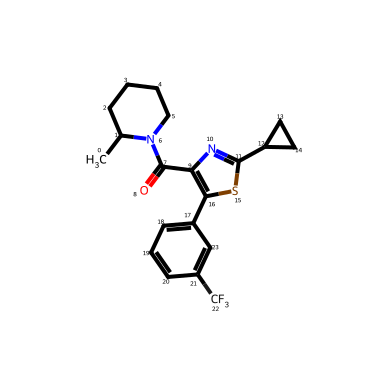 CC1CCCCN1C(=O)c1nc(C2CC2)sc1-c1cccc(C(F)(F)F)c1